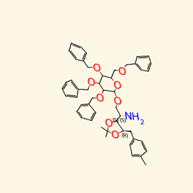 Cc1ccc(C[C@H]2OC(C)(C)O[C@H]2[C@@H](N)COC2OC(COCc3ccccc3)C(OCc3ccccc3)C(OCc3ccccc3)C2OCc2ccccc2)cc1